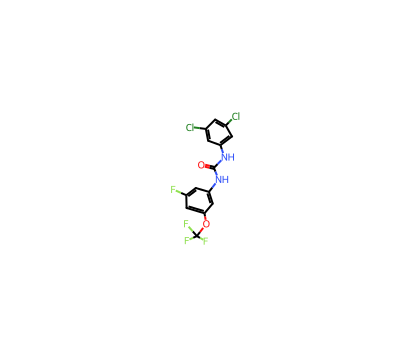 O=C(Nc1cc(Cl)cc(Cl)c1)Nc1cc(F)cc(OC(F)(F)F)c1